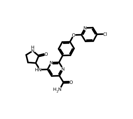 NC(=O)c1cc(NC2CCNC2=O)nc(-c2ccc(Oc3ccc(Cl)cn3)cc2)n1